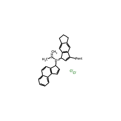 CCCC(C)C1=C[CH]([Zr+2]([CH]2C=Cc3c2ccc2ccccc32)[SiH](C)C)c2cc3c(cc21)CCC3.[Cl-].[Cl-]